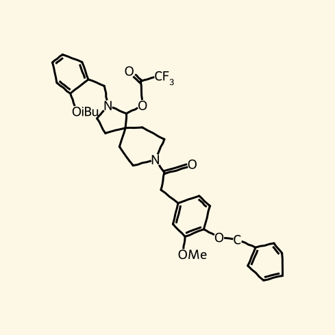 COc1cc(CC(=O)N2CCC3(CC2)CCN(Cc2ccccc2OCC(C)C)C3OC(=O)C(F)(F)F)ccc1OCc1ccccc1